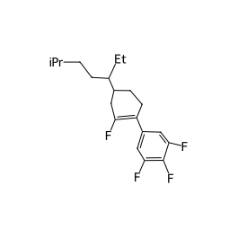 CCC(CCC(C)C)C1CCC(c2cc(F)c(F)c(F)c2)=C(F)C1